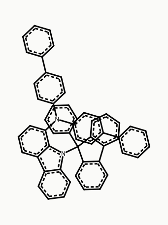 c1ccc(-c2ccc(N(c3ccc(-c4ccccc4)cc3)c3cccc4c5ccccc5n(C5(c6ccccc6)c6ccccc6-c6ccccc65)c34)cc2)cc1